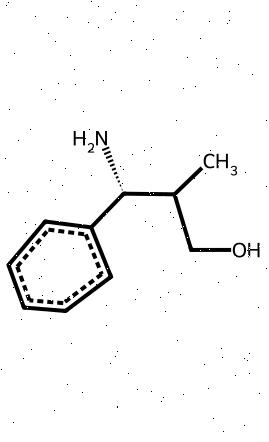 CC(CO)[C@@H](N)c1ccccc1